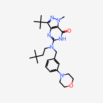 Cn1nc(C(C)(C)C)c2nc(N(CCC(C)(C)C)Cc3cccc(N4CCOCC4)c3)[nH]c(=O)c21